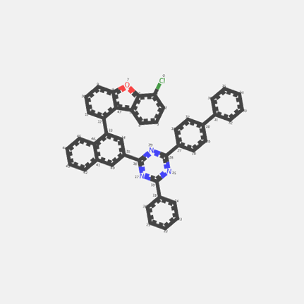 Clc1cccc2c1oc1cccc(-c3cc(-c4nc(-c5ccccc5)nc(-c5ccc(-c6ccccc6)cc5)n4)cc4ccccc34)c12